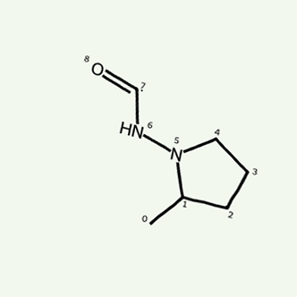 CC1CCCN1N[C]=O